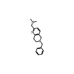 CN(C)Cc1ccc2c(n1)CCN(Cc1ccccc1)C2